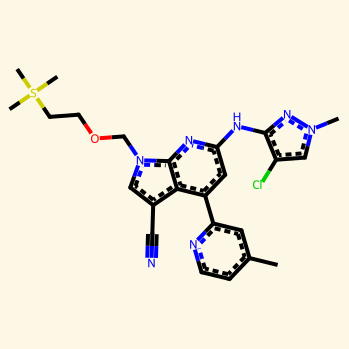 Cc1ccnc(-c2cc(Nc3nn(C)cc3Cl)nc3c2c(C#N)cn3COCCS(C)(C)C)c1